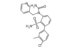 Cc1cc(-c2cccc(N(Cc3cccnc3)C(N)=O)c2S(N)(=O)=O)ccc1Cl